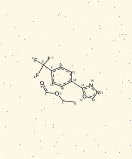 CCOC=O.FC(F)(F)c1ccc(-c2nnco2)cc1